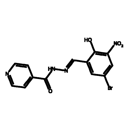 O=C(N/N=C/c1cc(Br)cc([N+](=O)[O-])c1O)c1ccncc1